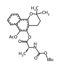 CC(=O)Oc1c(OC(=O)[C@H](C)NC(=O)OC(C)(C)C)c2c(c3ccccc13)OC(C)(C)CC2